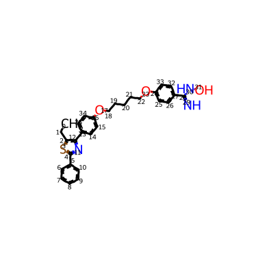 CCc1sc(-c2ccccc2)nc1-c1ccc(OCCCCCOc2ccc(C(=N)NO)cc2)cc1